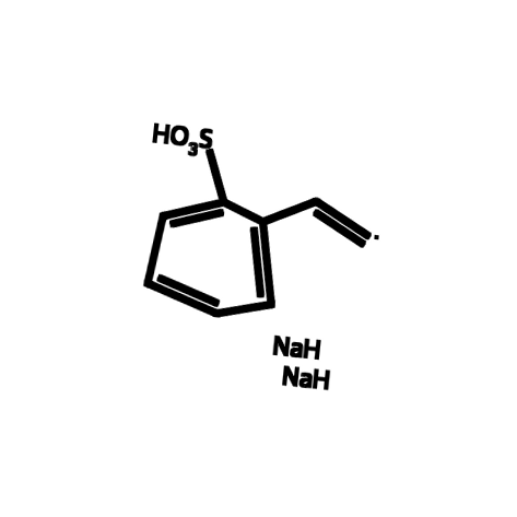 [CH]=Cc1ccccc1S(=O)(=O)O.[NaH].[NaH]